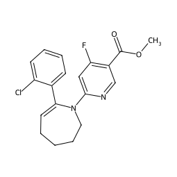 COC(=O)c1cnc(N2CCCCC=C2c2ccccc2Cl)cc1F